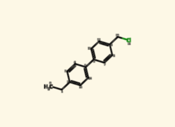 CCc1ccc(-c2ccc(CCl)cc2)cc1